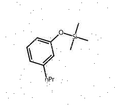 CCCc1cccc(O[Si](C)(C)C)c1